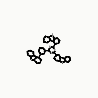 c1cc(-c2nc(-c3ccc4sc5ccccc5c4c3)nc(-c3cccc4sc5ccccc5c34)n2)cc(-c2cccc3sc4ccccc4c23)c1